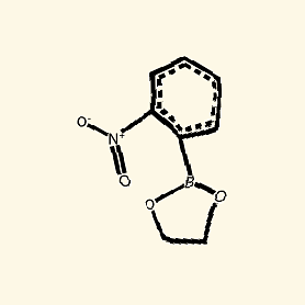 O=[N+]([O-])c1ccccc1B1OCCO1